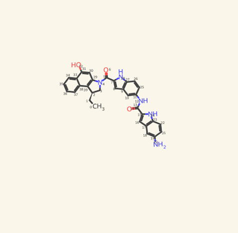 CC[C@@H]1CN(C(=O)c2cc3cc(NC(=O)c4cc5cc(N)ccc5[nH]4)ccc3[nH]2)c2cc(O)c3ccccc3c21